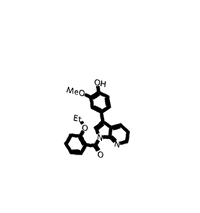 CCOC1=C(C(=O)n2cc(-c3ccc(O)c(OC)c3)c3c2=NCCC=3)C=CCC1